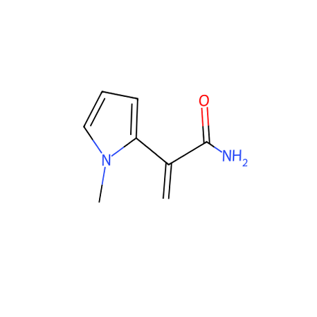 C=C(C(N)=O)c1cccn1C